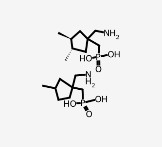 CC1CCC(CN)(CP(=O)(O)O)C1.C[C@H]1CC(CN)(CP(=O)(O)O)C[C@@H]1C